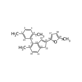 Cc1ccc(C)c(-c2c(C)ccc3c2C=C(c2ccc(C)o2)C3)c1